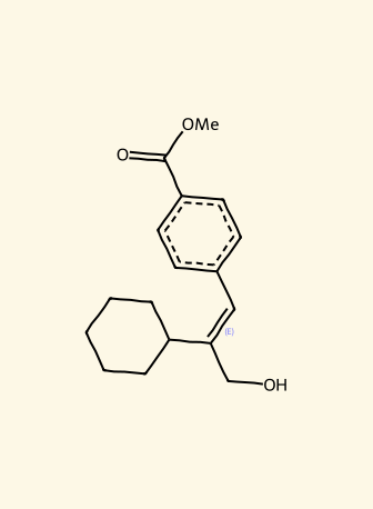 COC(=O)c1ccc(/C=C(/CO)C2CCCCC2)cc1